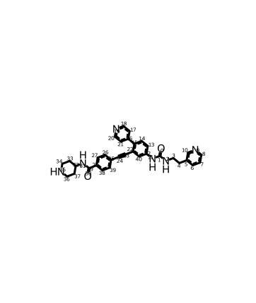 O=C(NCCc1cccnc1)Nc1ccc(-c2ccncc2)c(C#Cc2ccc(C(=O)NC3CCNCC3)cc2)c1